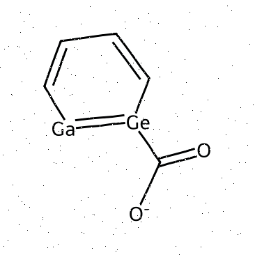 O=[C]([O-])[Ge]1=[Ga][CH]=CC=[CH]1